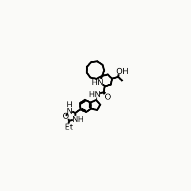 CCC1NC(c2ccc3c(c2)CC[C@H]3NC(=O)C2CC(C(C)O)CC3(CCCCCCCC3)N2)NO1